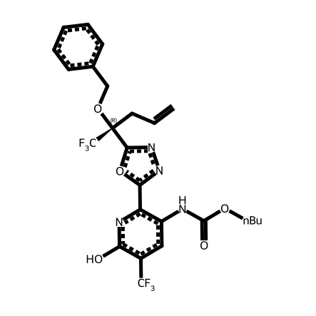 C=CC[C@@](OCc1ccccc1)(c1nnc(-c2nc(O)c(C(F)(F)F)cc2NC(=O)OCCCC)o1)C(F)(F)F